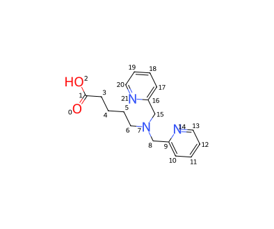 O=C(O)CCCCN(Cc1ccccn1)Cc1ccccn1